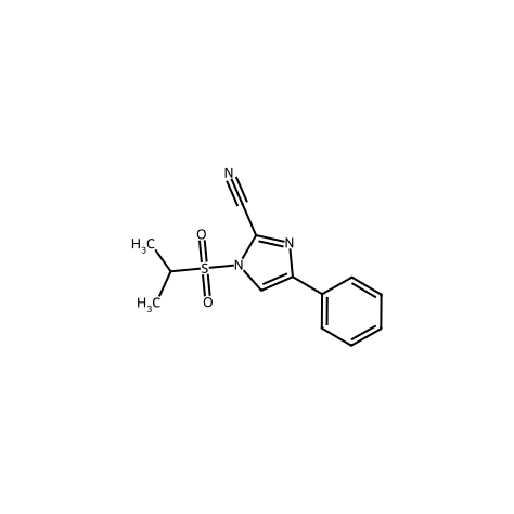 CC(C)S(=O)(=O)n1cc(-c2ccccc2)nc1C#N